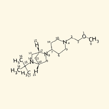 COCCN1CCC(N2C[C@H]3C[C@@H]2CN3C(C)(C)C)CC1